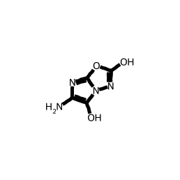 Nc1nc2oc(O)nn2c1O